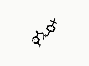 C=C(CN(C)Cc1ccc(C(C)(C)C)cc1)c1cccc(F)c1